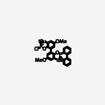 COc1cc(-c2cc(OC)cc(C(C)(C)C)c2OP2Oc3ccccc3-c3ccccc32)c(OP(Cl)Cl)c(C(C)(C)C)c1